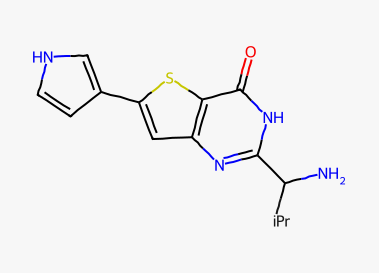 CC(C)C(N)c1nc2cc(-c3cc[nH]c3)sc2c(=O)[nH]1